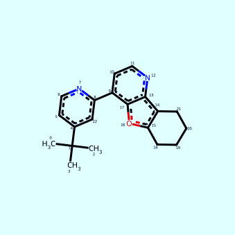 CC(C)(C)c1ccnc(-c2ccnc3c4c(oc23)CCCC4)c1